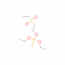 CCOP(=S)(OCC)OCCS(=O)(=O)CC